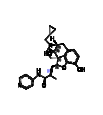 C/C(=C\[C@@H]1Oc2c(O)ccc3c2[C@@]12CCN(CC1CC1)[C@H](C3)[C@@]2(C)O)C(=O)Nc1ccncc1